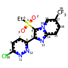 CCS(=O)(=O)c1c(-c2ccc(Cl)nn2)nc2ccc(C(F)(F)F)cn12